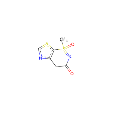 CS1(=O)=NC(=O)Cc2ncsc21